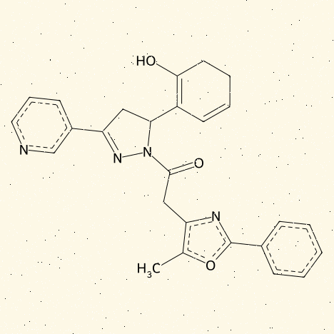 Cc1oc(-c2ccccc2)nc1CC(=O)N1N=C(c2cccnc2)CC1C1=C(O)CCC=C1